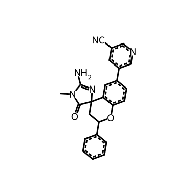 CN1C(=O)C2(CC(c3ccccc3)Oc3ccc(-c4cncc(C#N)c4)cc32)N=C1N